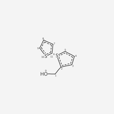 OCc1cccs1.c1ccsc1